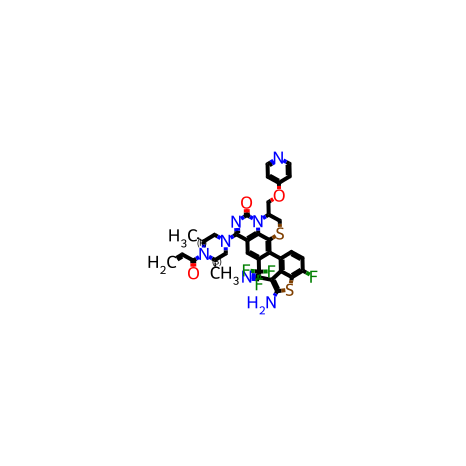 C=CC(=O)N1[C@H](C)CN(c2nc(=O)n3c4c(c(-c5ccc(F)c6sc(N)c(C#N)c56)c(C(F)(F)F)cc24)SCC3COc2ccncc2)C[C@@H]1C